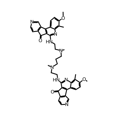 COc1ccc2c3c(c(NCCN(C)CCCN(C)CCNc4nc5c(C)c(OC)ccc5c5c4C(=O)c4ccncc4-5)nc2c1C)C(=O)c1ccncc1-3